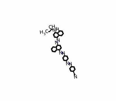 CCC(C)Nc1ccc(/N=N/c2ccc(/N=N/c3ccc(/N=N/c4ccc(C#N)cc4)cc3)c3ccccc23)c2ccccc12